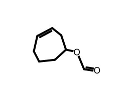 O=COC1CC=CCCC1